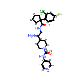 NC(CNC(=O)C1(c2ccc(F)cc2Cl)CCCC1)C1CCN(C(=O)Nc2ccncc2)CC1